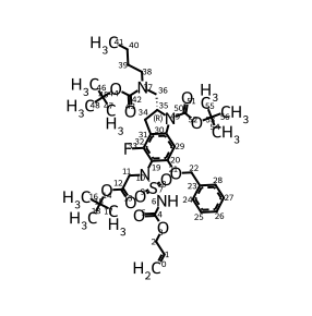 C=CCOC(=O)NS(=O)(=O)N(CC(=O)OC(C)(C)C)c1c(OCc2ccccc2)cc2c(c1F)C[C@H](CN(CCCC)C(=O)OC(C)(C)C)N2C(=O)OC(C)(C)C